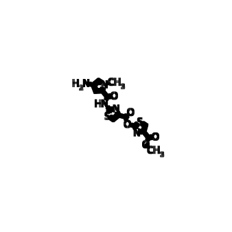 COC(=O)c1csc(OC(=O)c2csc(NC(=O)c3cc(N)cn3C)n2)n1